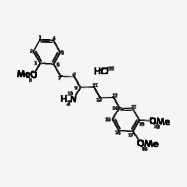 COc1ccccc1CCC(N)CCCc1ccc(OC)c(OC)c1.Cl